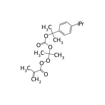 C=C(C)C(=O)OOC(C)(C)OC(=O)OC(C)(C)c1ccc(C(C)C)cc1